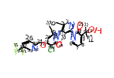 Cc1cnc(-n2cccc(C(C)(C)O)c2=O)cc1-n1c(C)cc(OCc2ccc(C(F)(F)F)cn2)c(Cl)c1=O